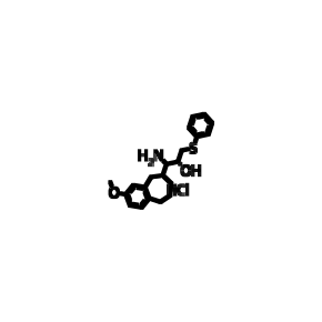 COc1ccc2c(c1)CC(C(N)[C@H](O)CSc1ccccc1)CCC2.Cl